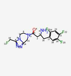 NC(CC(=O)N1CCn2c(CF)nnc2C1)Cc1cc(F)c(F)cc1F